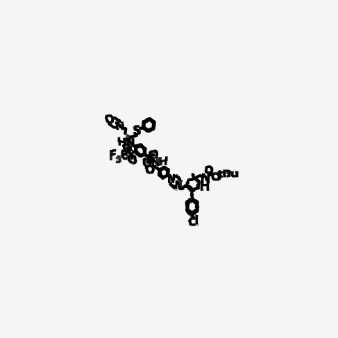 CC1(CNC(=O)OC(C)(C)C)CCC(c2ccc(Cl)cc2)=C(CN2CCN(c3ccc(C(=O)NS(=O)(=O)c4ccc(N[C@H](CCN5CCOCC5)CSc5ccccc5)c(S(=O)(=O)C(F)(F)F)c4)cc3)CC2)C1